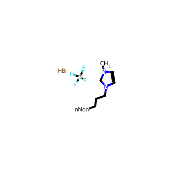 Br.CCCCCCCCCCCCN1C=CN(C)C1.F[B-](F)(F)F